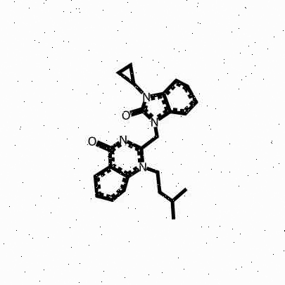 CC(C)CCn1c(Cn2c(=O)n(C3CC3)c3ccccc32)nc(=O)c2ccccc21